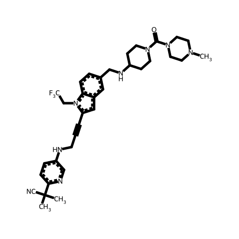 CN1CCN(C(=O)N2CCC(NCc3ccc4c(c3)cc(C#CCNc3ccc(C(C)(C)C#N)nc3)n4CC(F)(F)F)CC2)CC1